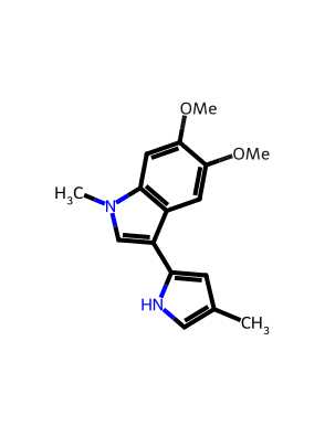 COc1cc2c(-c3cc(C)c[nH]3)cn(C)c2cc1OC